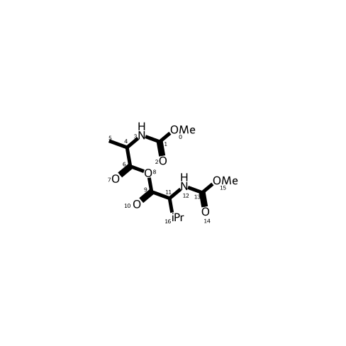 COC(=O)NC(C)C(=O)OC(=O)C(NC(=O)OC)C(C)C